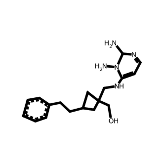 NC1N=CC=C(NCC2(CO)CC(CCc3ccccc3)C2)N1N